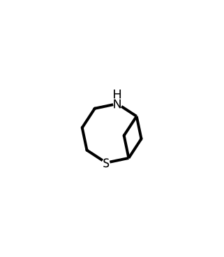 C1CNC2CC(C2)SC1